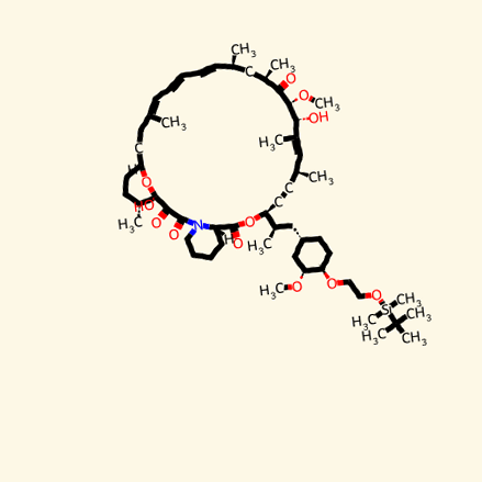 CO[C@@H]1C[C@H](C[C@@H](C)[C@@H]2CC[C@H](C)/C=C(\C)[C@@H](O)[C@@H](OC)C(=O)[C@H](C)C[C@H](C)/C=C/C=C/C=C(\C)CC[C@@H]3CC[C@@H](C)[C@@](O)(O3)C(=O)C(=O)N3CCCC[C@H]3C(=O)O2)CC[C@H]1OCCO[Si](C)(C)C(C)(C)C